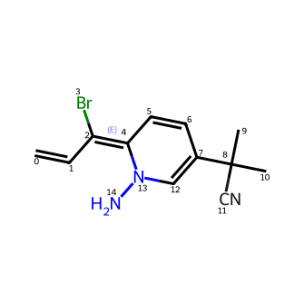 C=C/C(Br)=C1/C=CC(C(C)(C)C#N)=CN1N